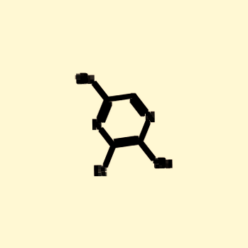 CCc1nc(C(C)(C)C)cnc1C(C)(C)C